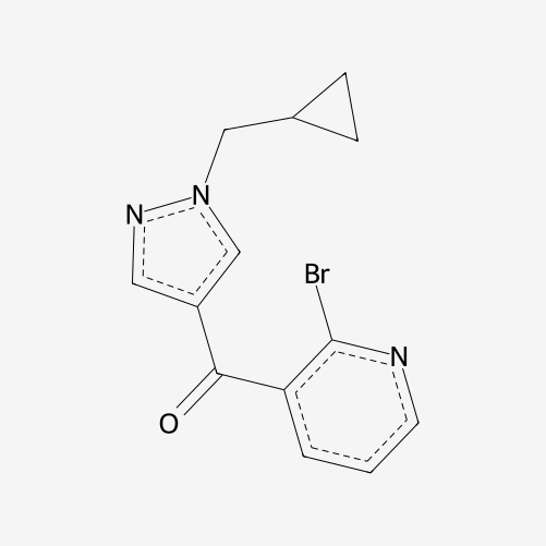 O=C(c1cnn(CC2CC2)c1)c1cccnc1Br